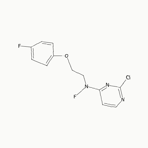 Fc1ccc(OCCN(F)c2ccnc(Cl)n2)cc1